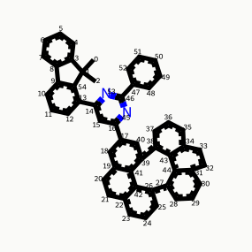 CC1(C)c2ccccc2-c2cccc(-c3cc(-c4cc5ccc6cccc7c8cccc9ccc%10cccc(c(c4)c5c67)c%10c98)nc(-c4ccccc4)n3)c21